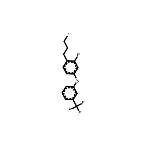 Fc1cc(Sc2cccc(C(F)(F)F)c2)ccc1CCCI